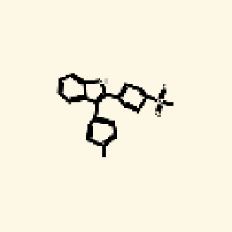 Cc1ccc(-c2c(-c3ccc(S(C)(=O)=O)cc3)[nH]c3ccccc23)cc1